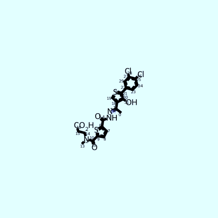 C/C(=N\NC(=O)c1ccc(C(=O)N(C)CCC(=O)O)s1)c1csc(-c2ccc(Cl)c(Cl)c2)c1O